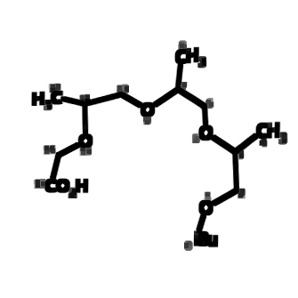 CCC(C)OCC(C)OCC(C)OCC(C)OCC(=O)O